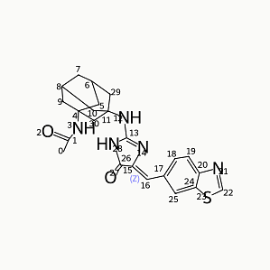 CC(=O)NC12CC3CC(C1)CC(NC1=N/C(=C\c4ccc5ncsc5c4)C(=O)N1)(C3)C2